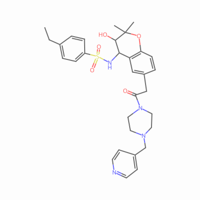 CCc1ccc(S(=O)(=O)NC2c3cc(CC(=O)N4CCN(Cc5ccncc5)CC4)ccc3OC(C)(C)C2O)cc1